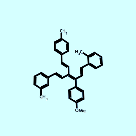 COc1ccc(C(C=Cc2ccccc2C)=C(C=Cc2ccc(C)cc2)C=Cc2cccc(C)c2)cc1